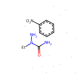 CCN(N)C(N)=O.O=[N+]([O-])c1ccccc1